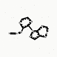 [N-]=[N+]=Nc1nccnc1-n1ncc2nccnc21